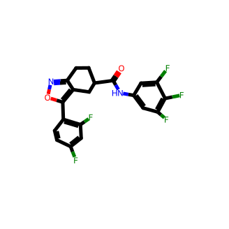 O=C(Nc1cc(F)c(F)c(F)c1)C1CCc2noc(-c3ccc(F)cc3F)c2C1